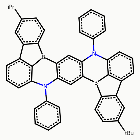 CC(C)c1ccc2c(c1)-c1cccc3c1B2c1cc2c(cc1N3c1ccccc1)B1c3ccc(C(C)(C)C)cc3-c3cccc(c31)N2c1ccccc1